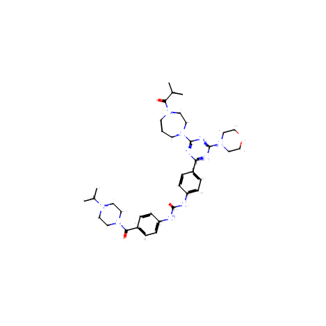 CC(C)C(=O)N1CCCN(c2nc(-c3ccc(NC(=O)Nc4ccc(C(=O)N5CCN(C(C)C)CC5)cc4)cc3)nc(N3CCOCC3)n2)CC1